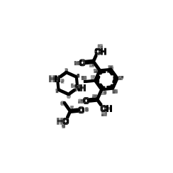 C1CNCCN1.CC(=O)O.Cc1c(C(=O)O)cccc1C(=O)O